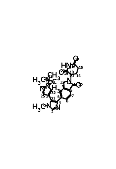 Cn1cnc(-c2ccc3c(c2)CN([C@H]2CCC(=O)NC2=O)C3=O)c1-c1cnn(C(C)(C)C)c1